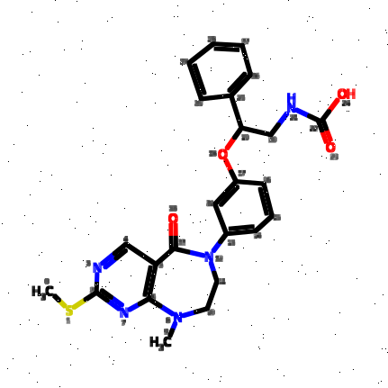 CSc1ncc2c(n1)N(C)CCN(c1cccc(OC(CNC(=O)O)c3ccccc3)c1)C2=O